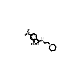 O=[N+]([O-])c1ccc2c(NCCN3CCCCC3)n[nH]c2c1